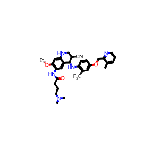 CCOc1cc2c(cc1NC(=O)CCCN(C)C)C(Nc1ccc(OCc3ncccc3C)cc1C(F)(F)F)C(C#N)CN2